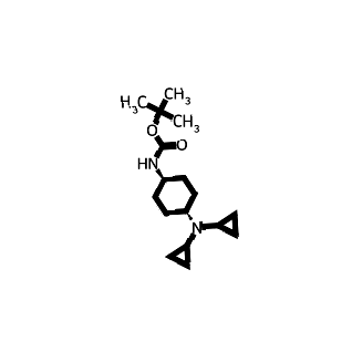 CC(C)(C)OC(=O)N[C@H]1CC[C@H](N(C2CC2)C2CC2)CC1